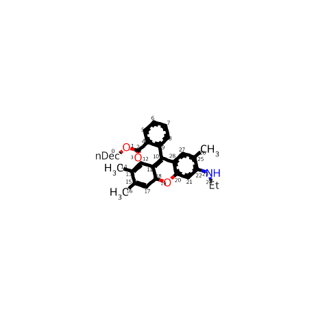 CCCCCCCCCCOC(=O)c1ccccc1C1=C2C=C(C)C(C)=CC2Oc2cc(NCC)c(C)cc21